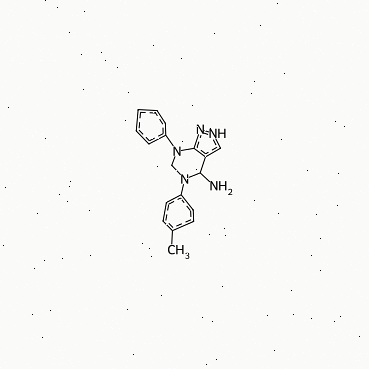 Cc1ccc(N2CN(c3ccccc3)c3n[nH]cc3C2N)cc1